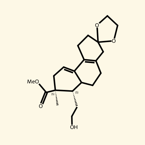 COC(=O)[C@@]1(C)CC=C2C3=C(CCC2[C@@H]1CCO)CC1(CC3)OCCO1